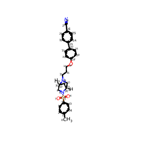 Cc1ccc(S(=O)(=O)N2C[C@H]3C[C@@H]2CN3CCCOc2ccc(-c3ccc(C#N)cc3)cc2)cc1